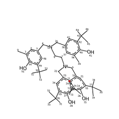 Cc1cc(CN(CCN(Cc2cc(C)c(O)c(C(C)(C)C)c2)Cc2cc(C)c(O)c(C(C)(C)C)c2)Cc2cc(C)c(O)c(C(C)(C)C)c2)cc(C(C)(C)C)c1O